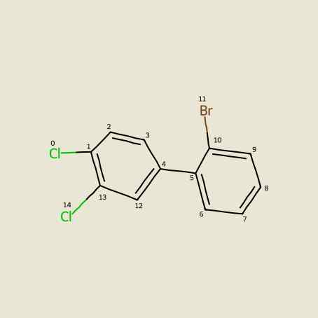 Clc1ccc(-c2ccccc2Br)cc1Cl